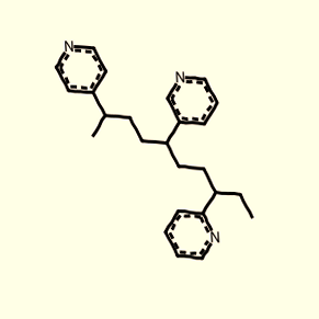 CCC(CCC(CCC(C)c1ccncc1)c1cccnc1)c1ccccn1